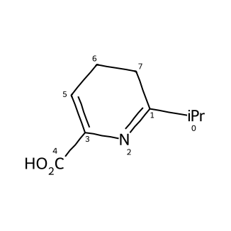 CC(C)C1=NC(C(=O)O)=CCC1